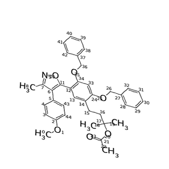 COc1ccc(-c2c(C)noc2-c2cc(CCC(C)(C)OC(C)=O)c(OCc3ccccc3)cc2OCc2ccccc2)cc1